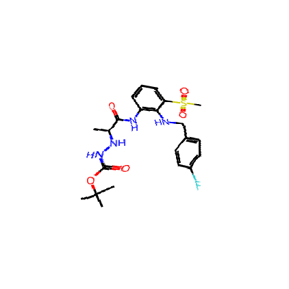 CC(NNC(=O)OC(C)(C)C)C(=O)Nc1cccc(S(C)(=O)=O)c1NCc1ccc(F)cc1